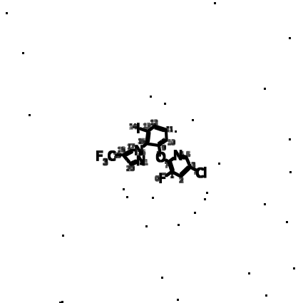 Fc1cc(Cl)cnc1Oc1cccc(I)c1-n1cc(C(F)(F)F)cn1